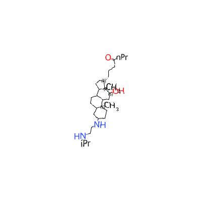 CCCC(=O)CCC[C@H]1CCC2C3CCC4CC(NCCNC(C)C)CC[C@]4(C)C3C[C@H](O)[C@@]21C